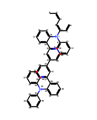 C=C/C(=C\C=C/C)N(c1ccccc1)c1ccccc1-c1cc(-c2ccnc(-c3ccccc3N(c3ccccc3)c3ccccc3)c2)ccn1